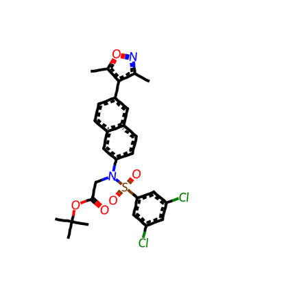 Cc1noc(C)c1-c1ccc2cc(N(CC(=O)OC(C)(C)C)S(=O)(=O)c3cc(Cl)cc(Cl)c3)ccc2c1